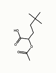 CC(=O)OC(CCC(C)(C)C)C(=O)O